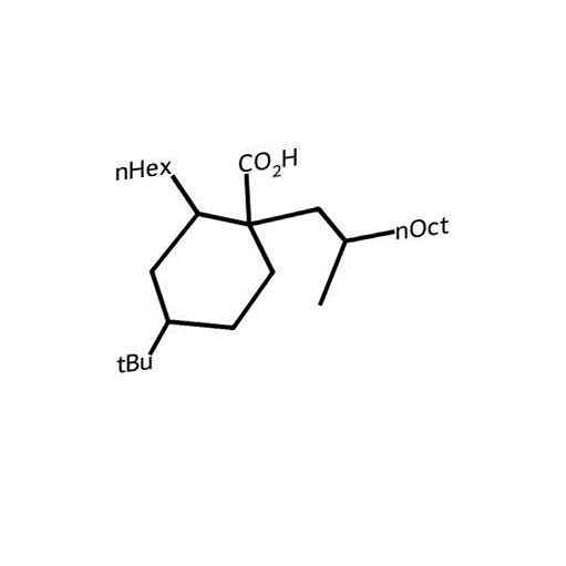 CCCCCCCCC(C)CC1(C(=O)O)CCC(C(C)(C)C)CC1CCCCCC